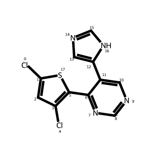 Clc1cc(Cl)c(-c2n[c]ncc2-c2cnc[nH]2)s1